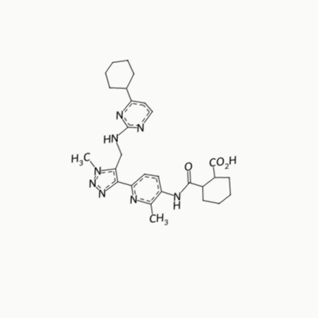 Cc1nc(-c2nnn(C)c2CNc2nccc(C3CCCCC3)n2)ccc1NC(=O)C1CCCCC1C(=O)O